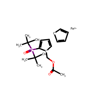 CC(=O)OC[c-]1cccc1P(=O)(C(C)(C)C)C(C)(C)C.[Fe+2].c1cc[cH-]c1